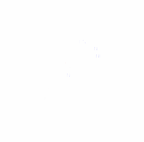 Nc1n[nH]c2ccc(C(=O)N3CCCC3c3ccccc3OCC(F)(F)F)cc12